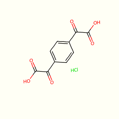 Cl.O=C(O)C(=O)c1ccc(C(=O)C(=O)O)cc1